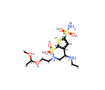 CCNC1CN(CCOC(C)OC)S(=O)(=O)c2sc(S(N)(=O)=O)cc21